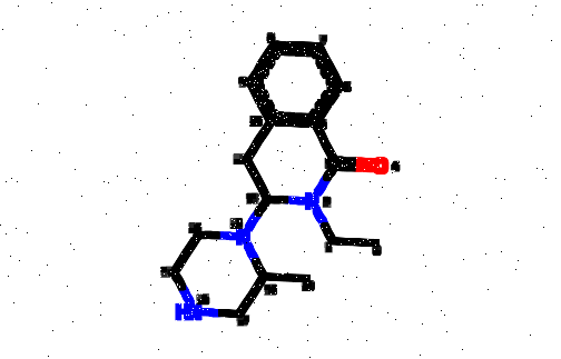 CCN1C(=O)c2ccccc2CC1N1CCNCC1C